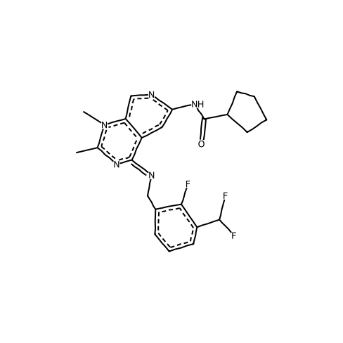 Cc1n/c(=N\Cc2cccc(C(F)F)c2F)c2cc(NC(=O)C3CCCC3)ncc2n1C